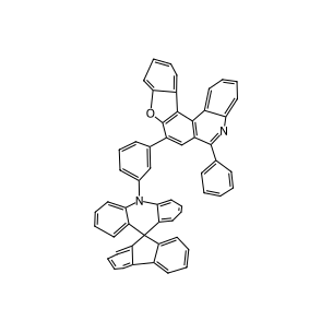 c1ccc(-c2nc3ccccc3c3c2cc(-c2cccc(N4c5ccccc5C5(c6ccccc6-c6ccccc65)c5ccccc54)c2)c2oc4ccccc4c23)cc1